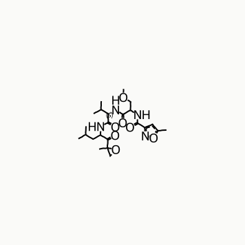 COCC(NC(=O)c1cc(C)on1)C(=O)N[C@H](C(=O)NC(CC(C)C)C(=O)C1(C)CO1)C(C)C